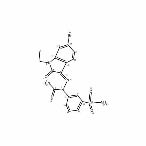 CCN1C(=O)/C(=N\N(C(N)=S)c2cccc(S(N)(=O)=O)c2)c2ccc(Br)cc21